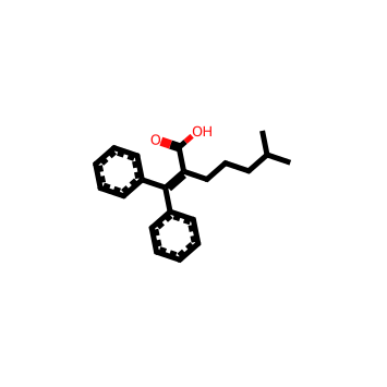 CC(C)CCCC(C(=O)O)=C(c1ccccc1)c1ccccc1